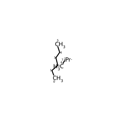 CCCCCC.C[C](C)C